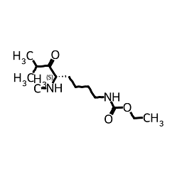 CCOC(=O)NCCCC[C@H](NC)C(=O)C(C)C